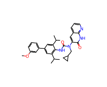 COc1cccc(-c2cc(C(C)C)c(NC(=O)N(CC3CC3)c3cc4cccnc4[nH]c3=O)c(C(C)C)c2)c1